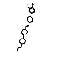 CCC[C@H]1CC[C@H]([C@H]2CC[C@H](C=C[C@H]3CC[C@H](c4ccc(F)c(F)c4)CC3)CC2)CC1